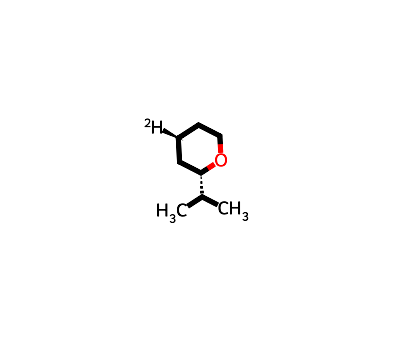 [2H][C@H]1CCO[C@H](C(C)C)C1